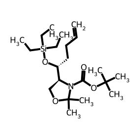 C=CCC[C@@H](O[Si](CC)(CC)CC)[C@@H]1COC(C)(C)N1C(=O)OC(C)(C)C